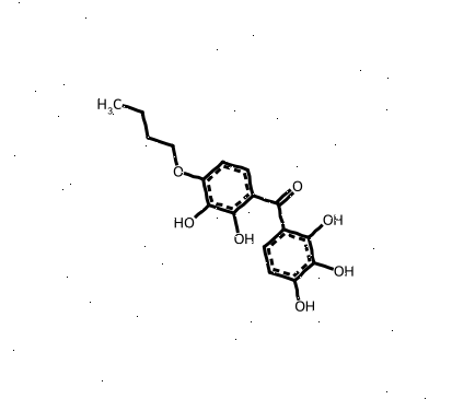 CCCCOc1ccc(C(=O)c2ccc(O)c(O)c2O)c(O)c1O